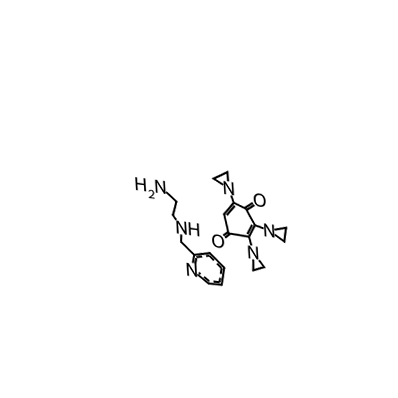 NCCNCc1ccccn1.O=C1C=C(N2CC2)C(=O)C(N2CC2)=C1N1CC1